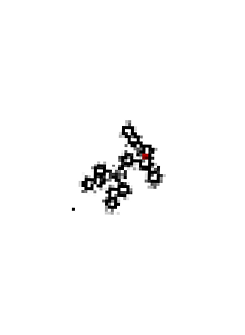 c1ccc2cc3c(cc2c1)c1ccccc1n3-c1ccc(-c2nc(-c3cccc4c3ccc3ccccc34)nc(-c3cccc4c3ccc3ccccc34)n2)cc1-c1ccc2sc3ccccc3c2c1